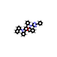 c1ccc(-c2ncc(N(c3ccccc3-c3ccc4c5ccccc5n(-c5cccc6ccccc56)c4c3)c3cccc4ccccc34)cn2)cc1